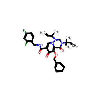 C=CC(C)N1CN(C(C)(C)C=C)C(=O)c2c(OCc3ccccc3)c(=O)c(C(=O)NCc3ccc(F)cc3F)cn21